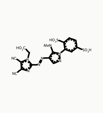 CNc1c(N=Nc2nc(C#N)c(C#N)n2CC(=O)O)cnn1-c1cc(S(=O)(=O)O)ccc1S(=O)(=O)O